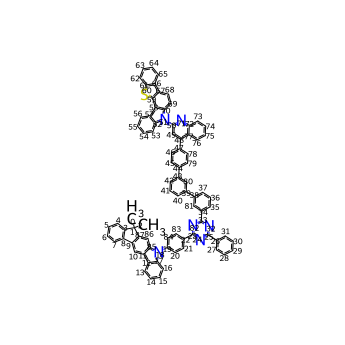 CC1(C)c2ccccc2-c2cc3c4ccccc4n(-c4ccc(-c5nc(-c6ccccc6)nc(-c6cccc(-c7cccc(-c8ccc(-c9cc(-n%10c%11ccccc%11c%11c%12sc%13ccccc%13c%12ccc%11%10)nc%10ccccc9%10)cc8)c7)c6)n5)cc4)c3cc21